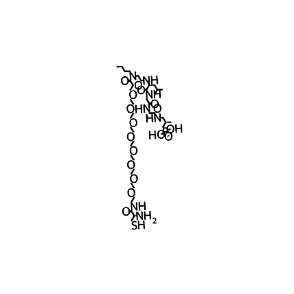 CCCCN(CC(=O)N[C@@H](CC(C)C)C(=O)NCC(=O)N[C@@H](C)C(=O)NC[C@@H](C)CP(=O)(O)O)C(=O)CCOCCOCCOCCOCCOCCOCCOCCOCCNC(=O)[C@@H](N)CS